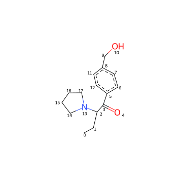 CCC(C(=O)c1ccc(CO)cc1)N1CCCC1